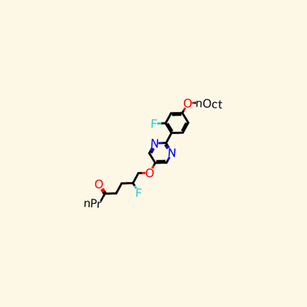 CCCCCCCCOc1ccc(-c2ncc(OCC(F)CCC(=O)CCC)cn2)c(F)c1